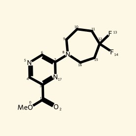 COC(=O)c1cncc(N2CCCC(F)(F)CC2)n1